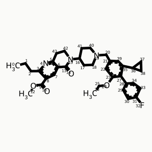 CCCc1nc2c(cc1C(=O)OC)C(=O)N(C1CCN(Cc3cc(OCC)c(-c4ccc(F)cc4)c(C4CC4)c3)CC1)CC2